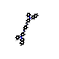 C1=CC(N(C2=CC=C(/C=C/c3ccc(/C=C/C4=CC=C(N(C5=CCCC=C5)C5C=CC6=C(C=CCC6)C5)CC4)cc3)CC2)C2C=CC3=C(C=CCC3)C2)=CCC1